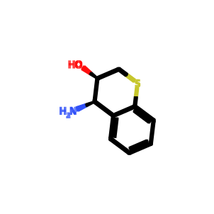 N[C@@H]1c2ccccc2SC[C@@H]1O